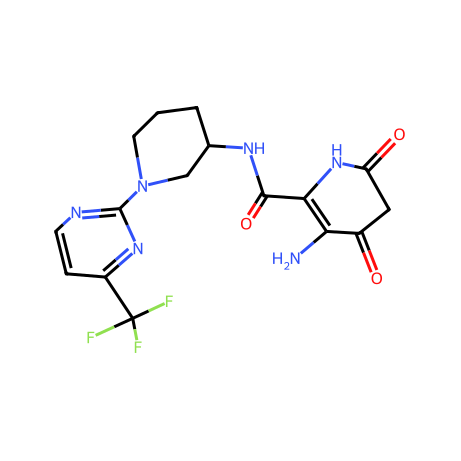 NC1=C(C(=O)NC2CCCN(c3nccc(C(F)(F)F)n3)C2)NC(=O)CC1=O